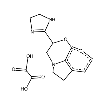 O=C(O)C(=O)O.c1cc2c3c(c1)OC(C1=NCCN1)CN3CC2